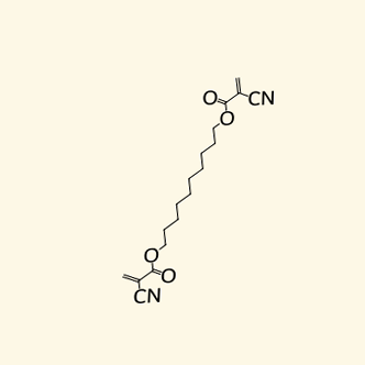 C=C(C#N)C(=O)OCCCCCCCCCCOC(=O)C(=C)C#N